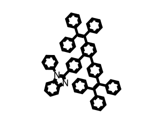 c1ccc(C(=C(c2ccccc2)c2ccc(-c3ccc(C(=C(c4ccccc4)c4ccccc4)c4ccccc4)cc3-c3ccc(-c4nc5ccccc5n4-c4ccccc4)cc3)cc2)c2ccccc2)cc1